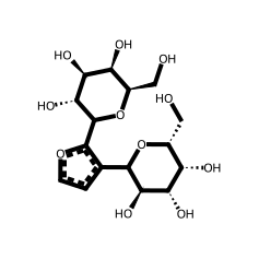 OC[C@H]1OC(c2ccoc2C2O[C@H](CO)[C@H](O)[C@H](O)[C@H]2O)[C@H](O)[C@@H](O)[C@H]1O